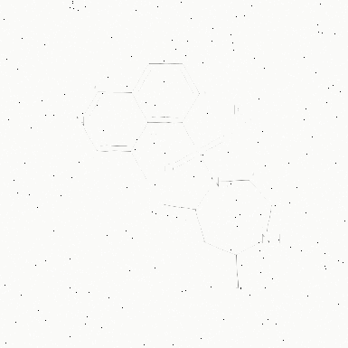 Cc1cncc2cccc(S(=O)(=O)N3CCNC(C)CC3C)c12.Cl